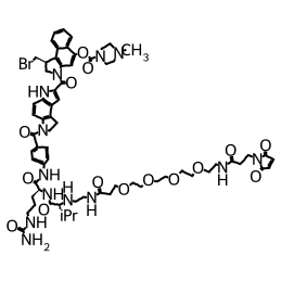 CC(C)[C@H](NCCNC(=O)CCOCCOCCOCCOCCNC(=O)CCN1C(=O)C=CC1=O)C(=O)N[C@@H](CCCNC(N)=O)C(=O)Nc1ccc(C(=O)N2CCc3c2ccc2[nH]c(C(=O)N4C[C@@H](CBr)c5c4cc(OC(=O)N4CCN(C)CC4)c4ccccc54)cc32)cc1